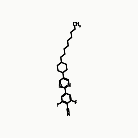 CCCCCCCCCC1CCC(c2cnc(-c3cc(F)c(C#N)c(F)c3)nc2)CC1